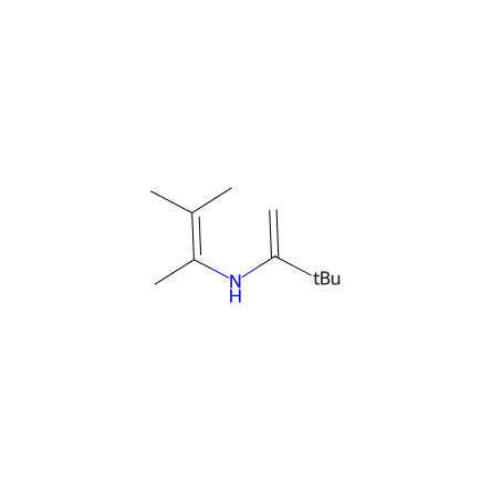 C=C(NC(C)=C(C)C)C(C)(C)C